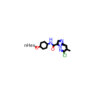 CCCCCCOC1CCC(NC(=O)c2cnc3cc(C)c(Cl)nn23)CC1